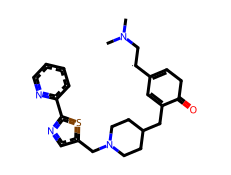 CN(C)C[CH]C1=CCC(=O)C(CC2CCN(Cc3cnc(-c4ccccn4)s3)CC2)=C1